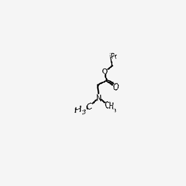 CC(C)COC(=O)CN(C)C